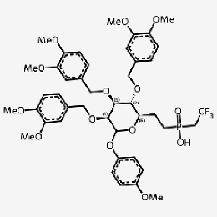 COc1ccc(OC2O[C@H](CCP(=O)(O)CC(F)(F)F)[C@@H](OCc3ccc(OC)c(OC)c3)[C@H](OCc3ccc(OC)c(OC)c3)[C@@H]2OCc2ccc(OC)c(OC)c2)cc1